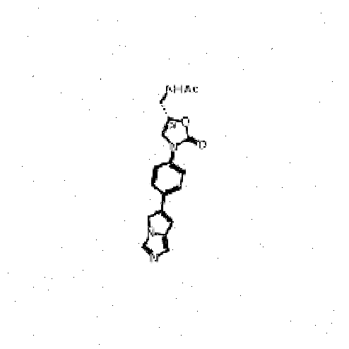 CC(=O)NC[C@H]1CN(c2ccc(C3=Cc4cncn4C3)cc2)C(=O)O1